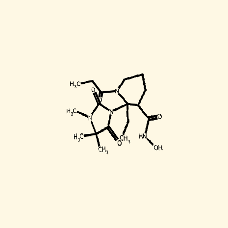 CCC(=O)N1CCCC(C(=O)NO)C1(CC)N1C(=O)N(C)C(C)(C)C1=O